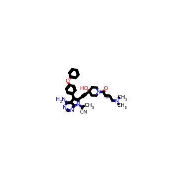 CC(C#N)n1c(C#CC2(O)CCN(C(=O)/C=C/CN(C)C)CC2)c(-c2ccc(Oc3ccccc3)cc2)c2c(N)ncnc21